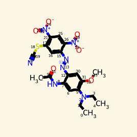 CCN(CC)c1cc(NC(C)=O)c(/N=N/c2cc(SC#N)c([N+](=O)[O-])cc2[N+](=O)[O-])cc1OC